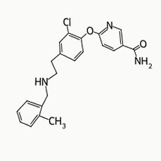 Cc1ccccc1CNCCc1ccc(Oc2ccc(C(N)=O)cn2)c(Cl)c1